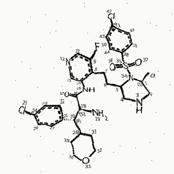 C[C@H]1CNCC(CCc2c(F)cncc2NC(=O)[C@@H](N)[C@@H](c2ccc(Cl)cc2)C2CCOCC2)N1S(=O)(=O)c1ccc(Cl)cc1